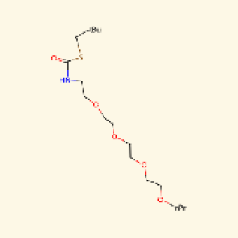 CCCOCCOCCOCCOCCNC(=O)SCC(C)(C)C